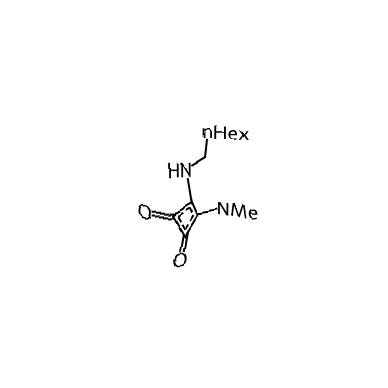 CCCCCCCNc1c(NC)c(=O)c1=O